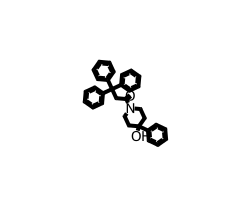 O=C(CC(c1ccccc1)(c1ccccc1)c1ccccc1)N1CCC(O)(c2ccccc2)CC1